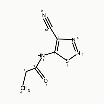 CCC(=O)Nc1snnc1C#N